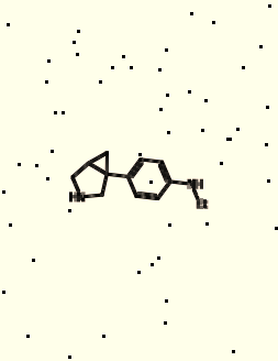 CCNc1ccc(C23CNCC2C3)cc1